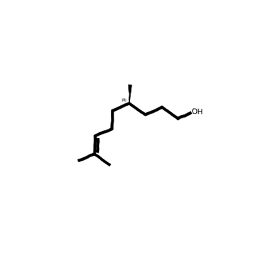 CC(C)=CCC[C@@H](C)CCCO